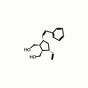 C=C[C@H]1C[C@@H](/C=C\c2ccccc2)[C@H](CO)[C@@H]1CO